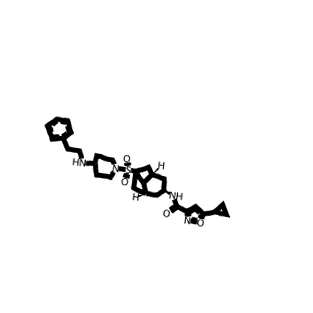 O=C(N[C@@H]1C[C@@H]2CC3(S(=O)(=O)N4CCC(NCCc5ccccc5)CC4)C[C@H](C1)C23)c1cc(C2CC2)on1